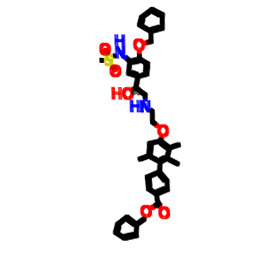 Cc1cc(OCCNC[C@@H](O)c2ccc(OCc3ccccc3)c(NS(C)(=O)=O)c2)c(C)c(C)c1-c1ccc(C(=O)OCc2ccccc2)cc1